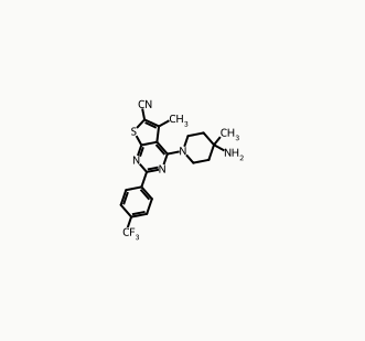 Cc1c(C#N)sc2nc(-c3ccc(C(F)(F)F)cc3)nc(N3CCC(C)(N)CC3)c12